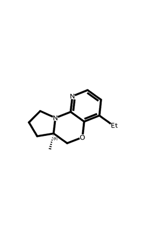 CCc1ccnc2c1OC[C@@]1(C)CCCN21